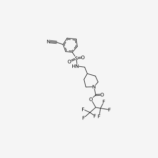 N#Cc1cccc(S(=O)(=O)NCC2CCN(C(=O)OC(C(F)(F)F)C(F)(F)F)CC2)c1